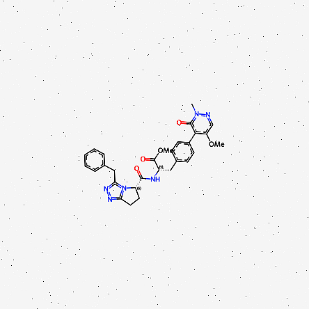 COC(=O)[C@H](Cc1ccc(-c2c(OC)cnn(C)c2=O)cc1)NC(=O)[C@@H]1CCc2nnc(Cc3ccccc3)n21